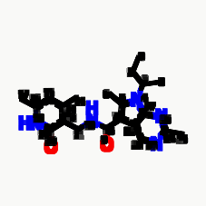 CCC(C)n1c(C)c(C(=O)NCc2c(C)cc(C)[nH]c2=O)c2cnc(C)nc21